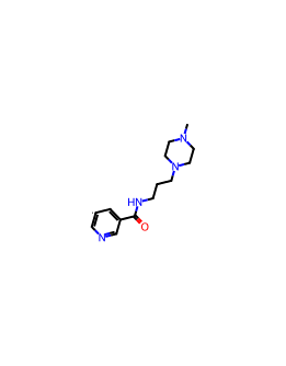 CN1CCN(CCCNC(=O)c2c[c]cnc2)CC1